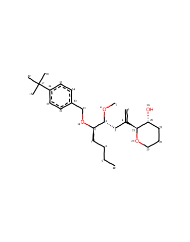 C=C(C[C@@H](OC)[C@@H](CCCC)OCc1ccc(C(C)(C)C)cc1)[C@@H]1OCCC[C@H]1O